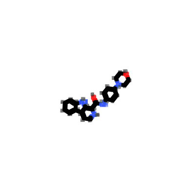 O=C(Nc1ccc(N2CCOCC2)cc1)c1nccc2c1[nH]c1ccccc12